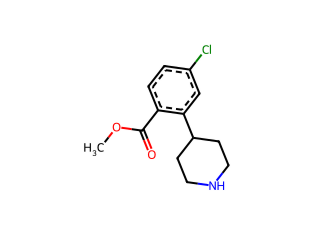 COC(=O)c1ccc(Cl)cc1C1CCNCC1